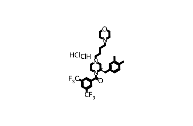 Cc1ccc(C[C@@H]2CN(CCCCN3CCOCC3)CCN2C(=O)c2cc(C(F)(F)F)cc(C(F)(F)F)c2)cc1C.Cl.Cl